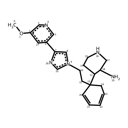 COc1cncc(-c2cn(CCC3(C4CCNCC4N)C=CC=CC3)cn2)c1